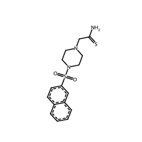 NC(=S)CN1CCN(S(=O)(=O)c2ccc3ccccc3c2)CC1